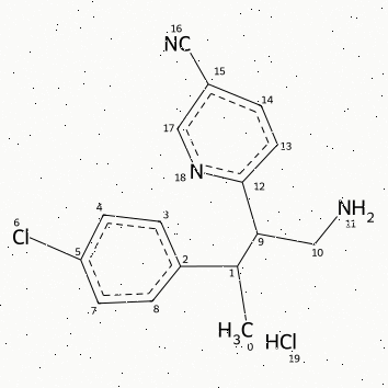 CC(c1ccc(Cl)cc1)C(CN)c1ccc(C#N)cn1.Cl